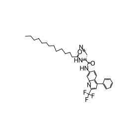 CCCCCCCCCCCCCC(=O)N[C@H](CC#N)C(=O)Nc1ccc2c(-c3ccccc3)cc(C(F)(F)F)nc2c1